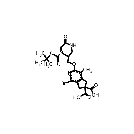 Cc1c(OCC2CNC(=O)CN2C(=O)OC(C)(C)C)nc(Br)c2c1CC(C(=O)O)(C(=O)O)C2